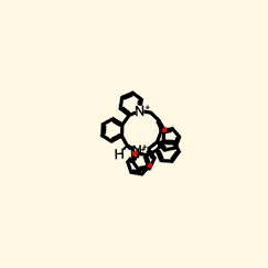 C1=C2/C[n+]3ccccc3-c3ccccc3[C@@H]([n+]3ccccc3-c3ccccc3/1)[n+]1ccccc1-c1ccccc12